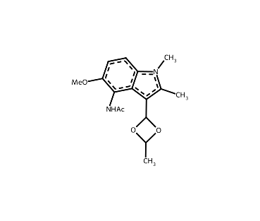 COc1ccc2c(c1NC(C)=O)c(C1OC(C)O1)c(C)n2C